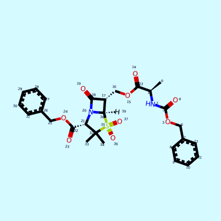 C[C@@H](NC(=O)OCc1ccccc1)C(=O)OC[C@H]1C(=O)N2[C@@H](C(=O)OCc3ccccc3)C(C)(C)S(=O)(=O)[C@H]12